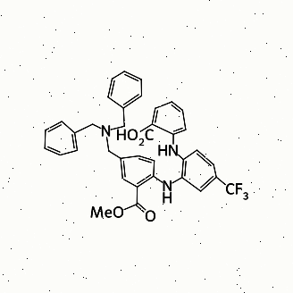 COC(=O)c1cc(CN(Cc2ccccc2)Cc2ccccc2)ccc1Nc1cc(C(F)(F)F)ccc1Nc1ccccc1C(=O)O